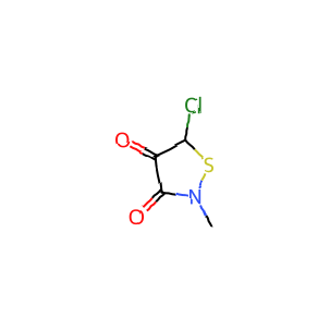 CN1SC(Cl)C(=O)C1=O